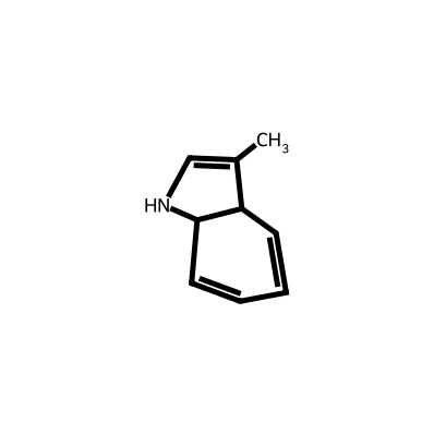 CC1=CNC2C=CC=CC12